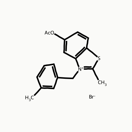 CC(=O)Oc1ccc2sc(C)[n+](Cc3cccc(C)c3)c2c1.[Br-]